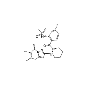 CC1=C(C)C(=O)n2nc([C@@H]3CCCCN3C(=O)c3ccc(F)cc3NS(C)(=O)=O)cc2C1